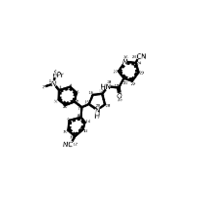 CCCN(C)c1ccc(C(c2ccc(C#N)cc2)C2CC(NC(=O)c3ccc(C#N)nc3)CN2)cc1